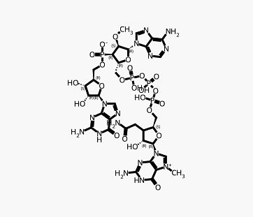 CO[C@@H]1[C@H](P(=O)([O-])OC[C@H]2O[C@@H](n3cnc4c(=O)[nH]c(N)nc43)[C@H](O)[C@@H]2O)[C@@H](COP(=O)(O)OP(=O)(O)OP(=O)(O)OC[C@H]2O[C@@H](n3c[n+](C)c4c(=O)[nH]c(N)nc43)[C@H](O)C2CC(N)=O)O[C@H]1n1cnc2c(N)ncnc21